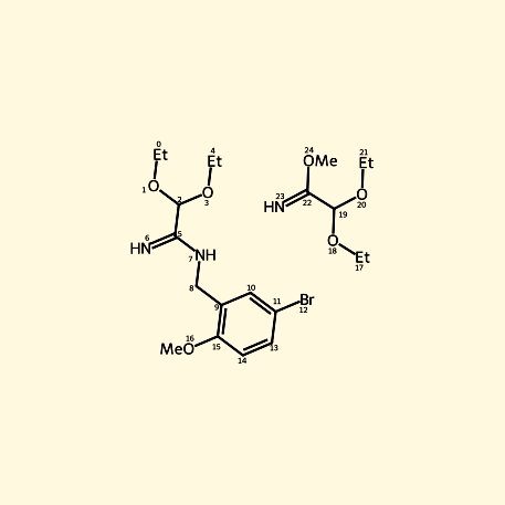 CCOC(OCC)C(=N)NCc1cc(Br)ccc1OC.CCOC(OCC)C(=N)OC